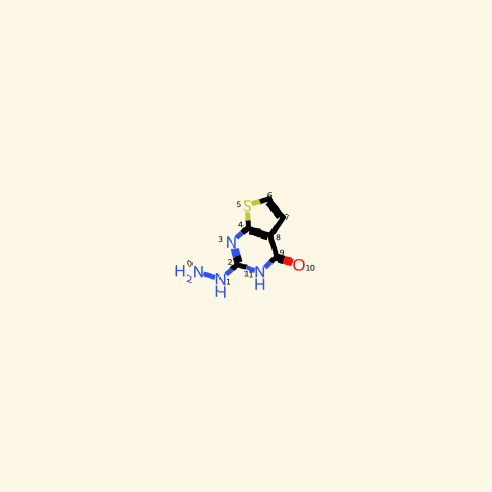 NNc1nc2sccc2c(=O)[nH]1